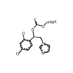 CCCCCCCOC(=O)OC(Cn1ccnc1)c1ccc(Cl)cc1Cl